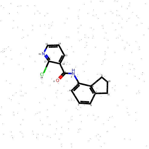 O=C(Nc1cccc2c1CCC2)c1cccnc1Cl